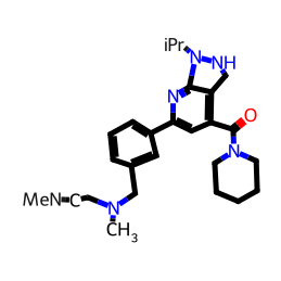 CNCCN(C)Cc1cccc(-c2cc(C(=O)N3CCCCC3)c3c(n2)N(C(C)C)NC3)c1